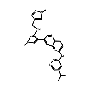 CC(C)c1cnnc(Nc2ccc3ncc(-c4cn(C)nc4NCc4cnn(C)c4)cc3n2)c1